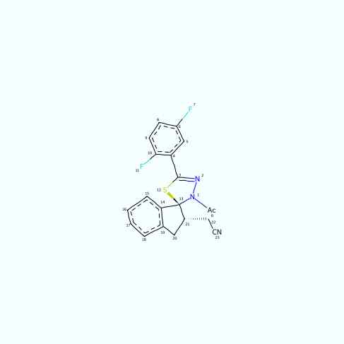 CC(=O)N1N=C(c2cc(F)ccc2F)S[C@@]12c1ccccc1C[C@H]2CC#N